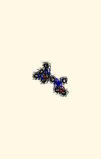 c1ccc(-c2nc(-c3ccc(-c4ccc5c(c4)nc(-c4ccccc4)c4ccc6c7ccccc7n(-c7ccccc7)c6c45)cc3)nc(-c3cccc4c3oc3ccccc34)n2)cc1